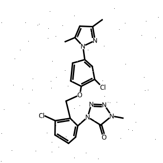 Cc1cc(C)n(-c2ccc(OCc3c(Cl)cccc3-n3nnn(C)c3=O)c(Cl)c2)n1